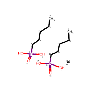 CCCCCP(=O)(O)O.CCCCCP(=O)(O)O.[Nd]